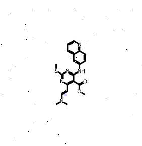 COC(=O)c1c(/C=C/N(C)C)nc(SC)nc1Nc1ccc2ncccc2c1